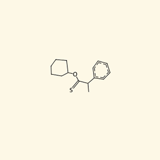 CC(C(=S)OC1CCCCC1)c1ccccc1